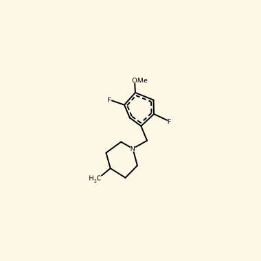 COc1cc(F)c(CN2CCC(C)CC2)cc1F